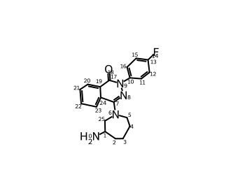 NC1CCCCN(c2nn(-c3ccc(F)cc3)c(=O)c3ccccc23)C1